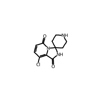 O=C1NC2(CCNCC2)n2c1c(Cl)ccc2=O